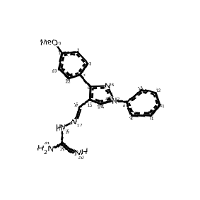 COc1ccc(-c2nn(-c3ccccc3)cc2/C=N/NC(=N)N)cc1